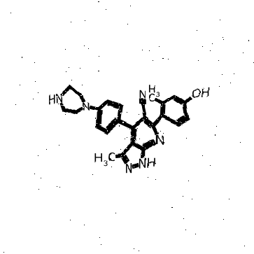 Cc1cc(O)ccc1-c1nc2[nH]nc(C)c2c(-c2ccc(N3CCNCC3)cc2)c1C#N